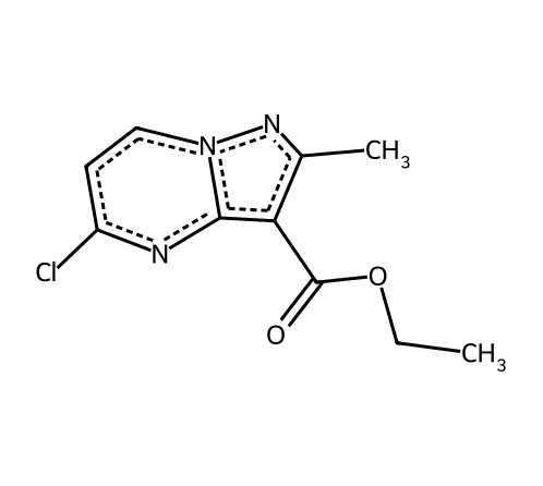 CCOC(=O)c1c(C)nn2ccc(Cl)nc12